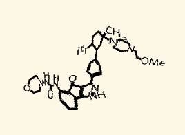 COCCN1CCN(C2(C)CCC(C(C)C)C(c3ccc(-c4n[nH]c5c4C(=O)c4c(NC(=O)NN6CCOCC6)cccc4-5)cc3)C2)CC1